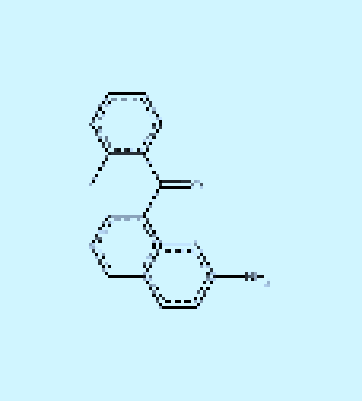 Cc1ccccc1C(=O)c1cccc2ccc(N)nc12